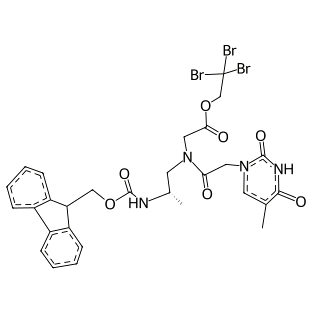 Cc1cn(CC(=O)N(CC(=O)OCC(Br)(Br)Br)C[C@H](C)NC(=O)OCC2c3ccccc3-c3ccccc32)c(=O)[nH]c1=O